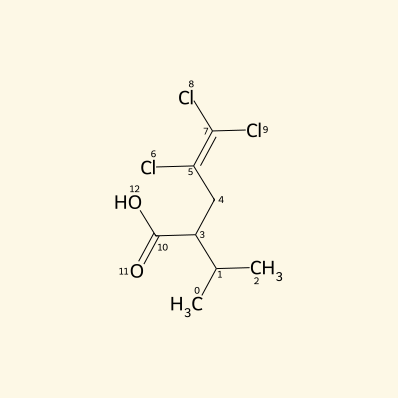 CC(C)C(CC(Cl)=C(Cl)Cl)C(=O)O